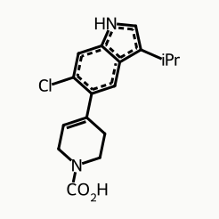 CC(C)c1c[nH]c2cc(Cl)c(C3=CCN(C(=O)O)CC3)cc12